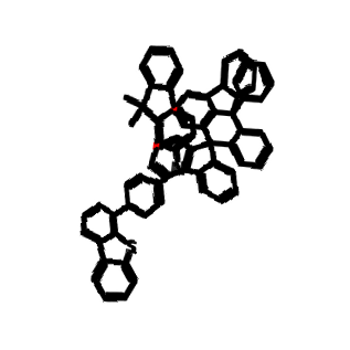 CC1(C)c2ccccc2-c2ccc(N(c3ccc(-c4cccc5c4sc4ccccc45)cc3)c3ccccc3C3(c4ccccc4)c4ccccc4C4(c5ccccc5)c5ccccc5-c5cccc3c54)cc21